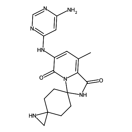 Cc1cc(Nc2cc(N)ncn2)c(=O)n2c1C(=O)NC21CCC2(CC1)CN2